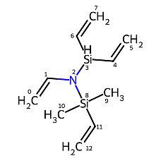 C=CN([SiH](C=C)C=C)[Si](C)(C)C=C